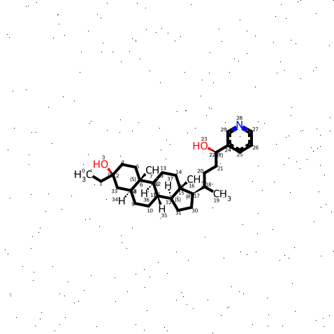 CC[C@]1(O)CC[C@@]2(C)[C@@H](CC[C@@H]3[C@@H]2CC[C@]2(C)[C@@H](C(C)CC[C@@H](O)c4cccnc4)CC[C@@H]32)C1